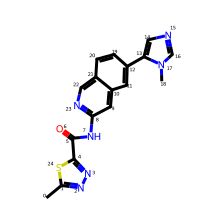 Cc1nnc(C(=O)Nc2cc3cc(-c4cncn4C)ccc3cn2)s1